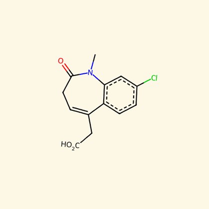 CN1C(=O)CC=C(CC(=O)O)c2ccc(Cl)cc21